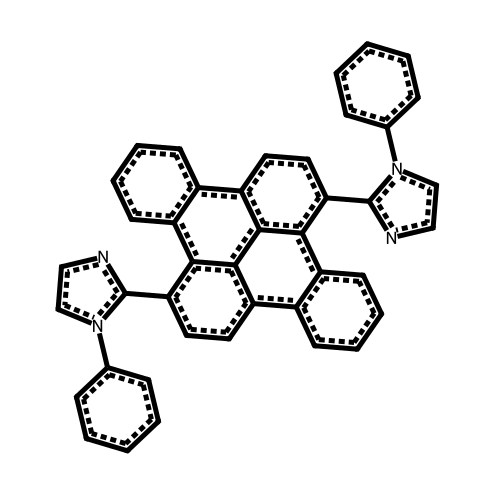 c1ccc(-n2ccnc2-c2ccc3c4ccccc4c4c(-c5nccn5-c5ccccc5)ccc5c6ccccc6c2c3c54)cc1